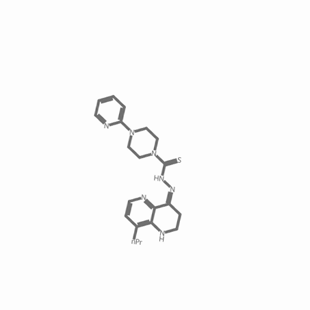 CCCc1ccnc2c1NCC/C2=N/NC(=S)N1CCN(c2ccccn2)CC1